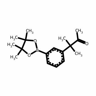 CC(=O)C(C)(C)c1cccc(B2OC(C)(C)C(C)(C)O2)c1